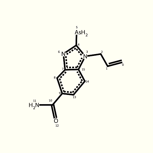 C=CCn1c([AsH2])nc2cc(C(N)=O)ccc21